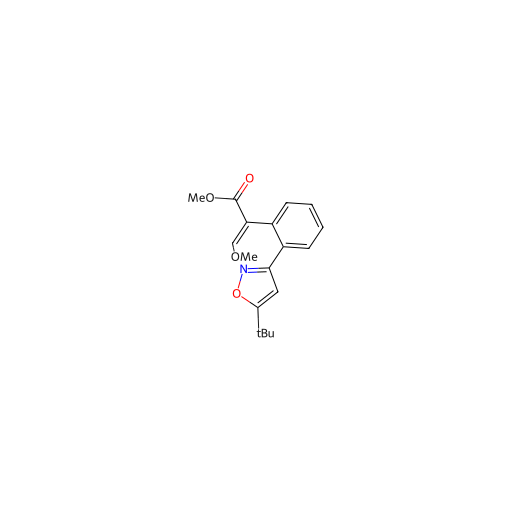 CO/C=C(/C(=O)OC)c1ccccc1-c1cc(C(C)(C)C)on1